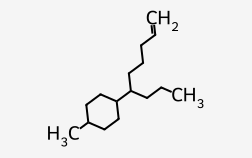 C=CCCCC(CCC)C1CCC(C)CC1